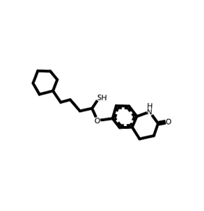 O=C1CCc2cc(OC(S)CCCC3CCCCC3)ccc2N1